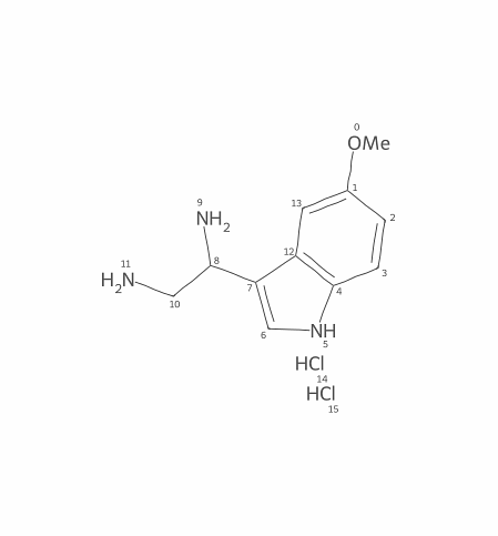 COc1ccc2[nH]cc(C(N)CN)c2c1.Cl.Cl